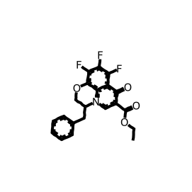 CCOC(=O)c1cn2c3c(c(F)c(F)c(F)c3c1=O)OCC2Cc1ccccc1